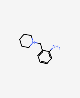 Nc1ccccc1CN1CCCCC1